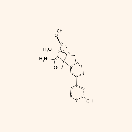 CO[C@H]1CC[C@@]2(Cc3ccc(-c4ccnc(O)c4)cc3C23COC(N)=N3)C[C@@H]1C